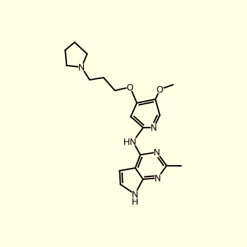 COc1cnc(Nc2nc(C)nc3[nH]ccc23)cc1OCCCN1CCCC1